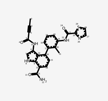 CC#CC(=O)Nc1c[nH]c2c(C(N)=O)ccc(-c3cccc(NC(=O)c4nccs4)c3C)c12